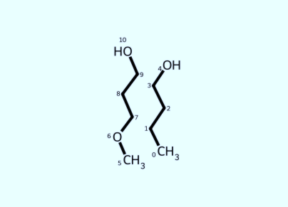 CCCCO.COCCCO